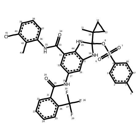 Cc1ccc(S(=O)(=O)OC2(C3(C)CC3)Nc3cc(NC(=O)c4ccccc4C(F)(F)F)cc(C(=O)Nc4cccc(Cl)c4C)c3N2)cc1